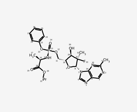 Cc1ncc2ncn([C@@H]3O[C@H](CO[P@](=O)(N[C@H](C)C(=O)OC(C)C)Oc4ccccc4)[C@@H](O)[C@@]3(C)F)c2n1